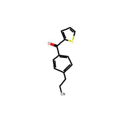 N#CCCc1ccc(C(=O)c2cccs2)cc1